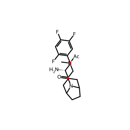 CC(=O)N(C)CC(=O)N1C2CCC1CC([C@H](N)Cc1cc(F)c(F)cc1F)C2